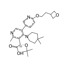 Cc1ncc(-c2ccc(OCCC3COC3)nc2)c(N2CCC(C)(C)CC2)c1[C@H](OC(C)(C)C)C(=O)O